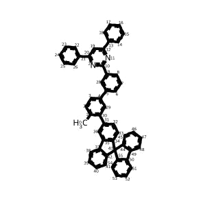 Cc1ccc(-c2cccc(-c3nc(-c4ccccc4)cc(-c4ccccc4)n3)c2)cc1-c1ccc2c(c1)-c1ccccc1C21c2ccccc2-c2ccccc21